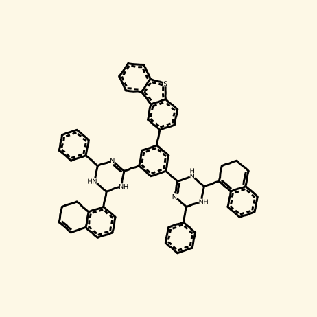 C1=Cc2cccc(C3NC(c4cc(C5=NC(c6ccccc6)NC(C6=c7ccccc7=CCC6)N5)cc(-c5ccc6sc7ccccc7c6c5)c4)=NC(c4ccccc4)N3)c2CC1